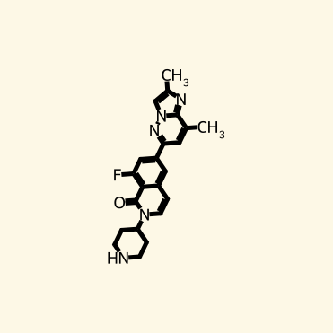 Cc1cn2nc(-c3cc(F)c4c(=O)n(C5CCNCC5)ccc4c3)cc(C)c2n1